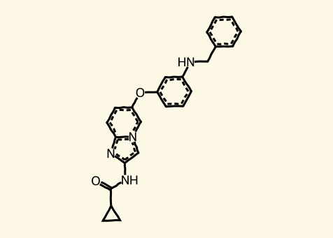 O=C(Nc1cn2cc(Oc3cccc(NCc4ccccc4)c3)ccc2n1)C1CC1